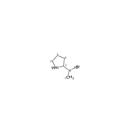 CC(Br)C1CCCN1